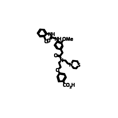 COc1cc(CC(=O)N(CCOc2ccc(C(=O)O)cc2)CCN2CCSCC2)ccc1NC(=O)Nc1ccccc1Cl